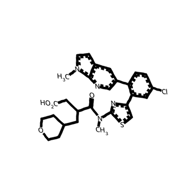 CN(C(=O)C(CC(=O)O)CC1CCOCC1)c1nc(-c2cc(Cl)ccc2-c2cnc3c(ccn3C)c2)cs1